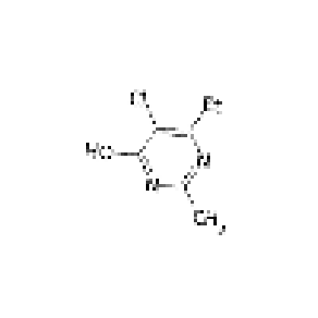 CCc1nc(C)nc(O)c1Cl